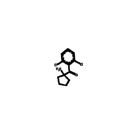 O=C(c1c(Cl)cccc1Cl)C1(P)CCCC1